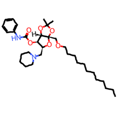 CCCCCCCCCCCCOC[C@@]12O[C@@H](CN3CCCCC3)[C@@H](OC(=O)Nc3ccccc3)[C@@H]1OC(C)(C)O2